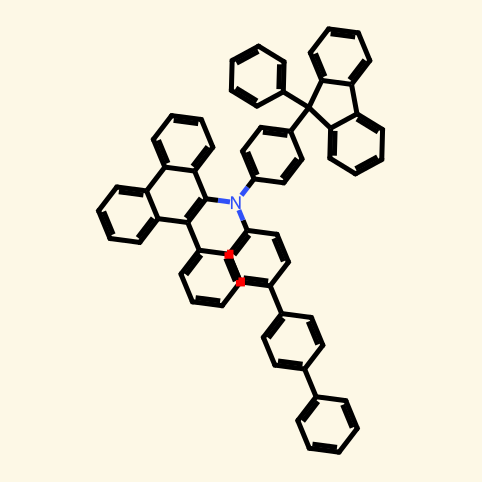 c1ccc(-c2ccc(-c3ccc(N(c4ccc(C5(c6ccccc6)c6ccccc6-c6ccccc65)cc4)c4c(-c5ccccc5)c5ccccc5c5ccccc45)cc3)cc2)cc1